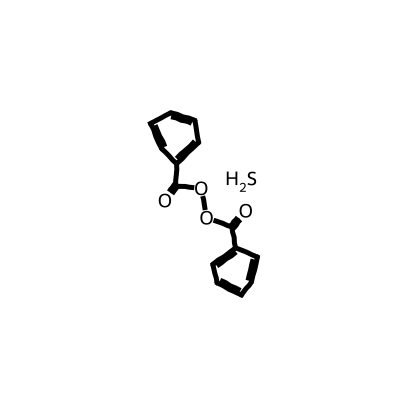 O=C(OOC(=O)c1ccccc1)c1ccccc1.S